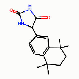 CC1(C)CCC(C)(C)c2cc(C3NC(=O)NC3=O)ccc21